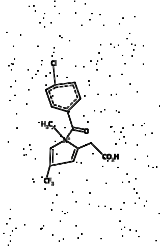 C[N+]1(C(=O)c2ccc(Cl)cc2)C=C(C(F)(F)F)C=C1CC(=O)O